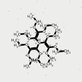 C[SiH2]OC(O[SiH2]C)=C(O[SiH2]C)[SiH](C(O[SiH2]C)=C(O[SiH2]C)O[SiH2]C)C(O[SiH2]C)=C(O[SiH2]C)O[SiH2]C